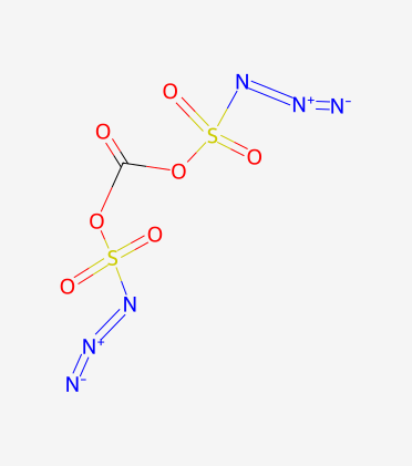 [N-]=[N+]=NS(=O)(=O)OC(=O)OS(=O)(=O)N=[N+]=[N-]